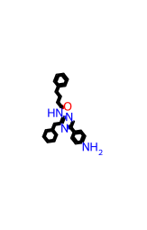 Nc1ccc(-c2cnc(NC(=O)CCCc3ccccc3)c(CC3CCCCC3)n2)cc1